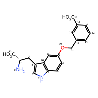 N[C@@H](Cc1c[nH]c2ccc(OCc3cccc(C(=O)O)c3)cc12)C(=O)O